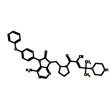 CC(C)(C=C(C#N)C(=O)N1CCCC1Cn1c(=O)n(-c2ccc(Oc3ccccc3)cc2)c2c(N)ncnc21)N1CCNCC1